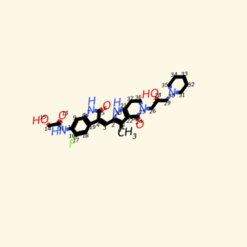 Cc1c(/C=C2\C(=O)Nc3cc(NC(=O)CO)c(F)cc32)[nH]c2c1C(=O)N(CC(O)CN1CCCCC1)CC2